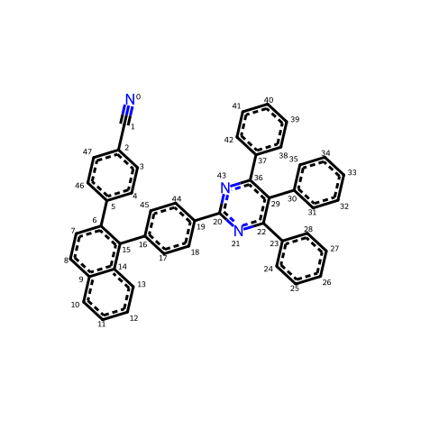 N#Cc1ccc(-c2ccc3ccccc3c2-c2ccc(-c3nc(-c4ccccc4)c(-c4ccccc4)c(-c4ccccc4)n3)cc2)cc1